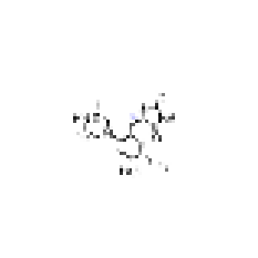 C[C@@H]1CN(c2ccc(C(F)(F)F)cc2/C=C2/SC(=O)NC2=O)C[C@H](C)N1.Cl